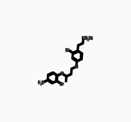 CCOC(=O)CCc1ccc(OCCC(C)Oc2ccc(C(F)(F)F)cc2Br)cc1CC